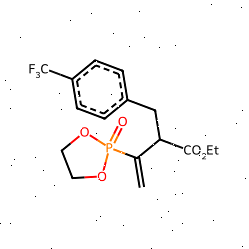 C=C(C(Cc1ccc(C(F)(F)F)cc1)C(=O)OCC)P1(=O)OCCO1